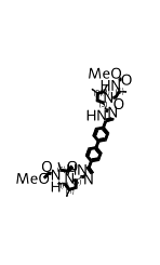 COC(=O)N[C@@H](C)C(=O)N1[C@H](C)[C@H](C)C[C@H]1c1ncc(-c2ccc(-c3ccc(-c4cnc([C@@H]5C[C@@H](C)[C@@H](C)N5C(=O)[C@H](C)NC(=O)OC)[nH]4)cc3)cc2)[nH]1